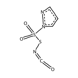 O=C=NSS(=O)(=O)n1cccn1